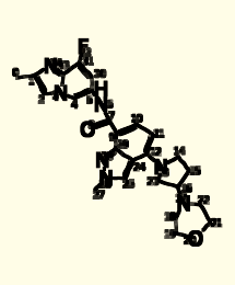 Cc1cn2cc(NC(=O)c3ccc(N4CCC(N5CCOCC5)C4)c4cn(C)nc34)cc(F)c2n1